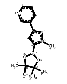 Cn1nc(-c2cccnc2)cc1B1OC(C)(C)C(C)(C)O1